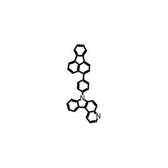 c1ccc2c(c1)-c1cccc3c(-c4ccc(-n5c6ccccc6c6c7cccnc7ccc65)cc4)ccc-2c13